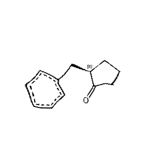 O=C1CCC[C@@H]1Cc1ccccc1